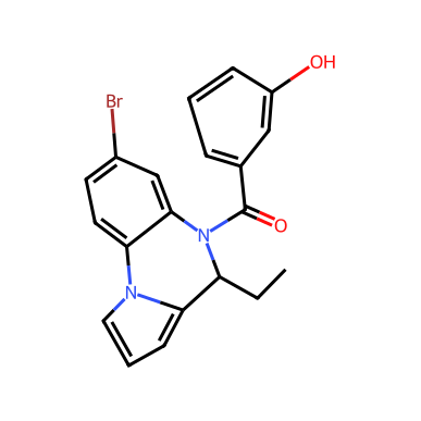 CCC1c2cccn2-c2ccc(Br)cc2N1C(=O)c1cccc(O)c1